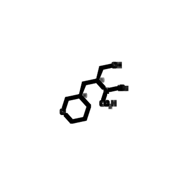 CC(C)(C)N(C(=O)O)[C@H](CO)C[C@H]1CCCOC1